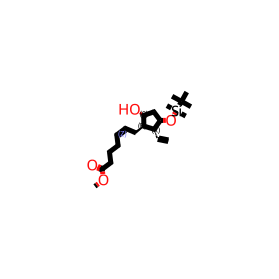 C=C[C@H]1C(O[Si](C)(C)C(C)(C)C)C[C@H](O)[C@@H]1C/C=C\CCCC(=O)OC